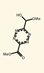 COC(=O)c1nnc(C(O)OC)nn1